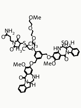 COCCOCCOCCN(CC(C)(C)SC1CC(=O)N(CCC(N)=O)C1=O)c1cc(COc2cc3c(cc2OC)C(=O)N2c4ccccc4C[C@H]2CN3)cc(COc2cc3c(cc2OC)C(=O)N2c4ccccc4C[C@H]2C(S(=O)(=O)O)N3)c1